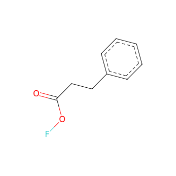 O=C(CCc1ccccc1)OF